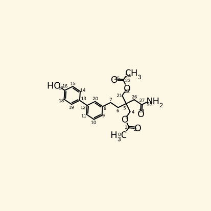 CC(=O)OCC(CCc1cccc(-c2ccc(O)cc2)c1)(COC(C)=O)CC(N)=O